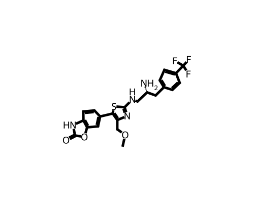 COCc1nc(NC[C@H](N)Cc2ccc(C(F)(F)F)cc2)sc1-c1ccc2[nH]c(=O)oc2c1